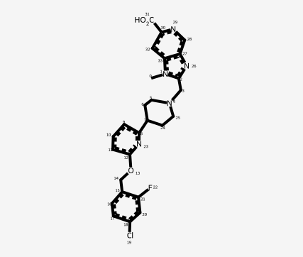 Cn1c(CN2CCC(c3cccc(OCc4ccc(Cl)cc4F)n3)CC2)nc2cnc(C(=O)O)cc21